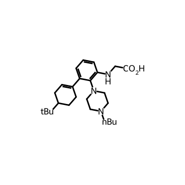 CCCCN1CCN(c2c(NCC(=O)O)cccc2C2=CCC(C(C)(C)C)CC2)CC1